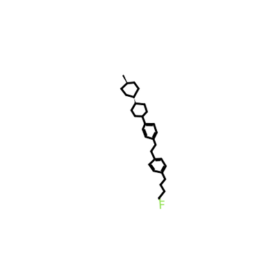 C[C@H]1CC[C@H](C2CCC(c3ccc(CCc4ccc(CCCCF)cc4)cc3)CC2)CC1